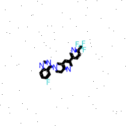 Fc1ccc2ncnc(N3CCc4ncc(-c5ccc(C(F)(F)F)nc5)cc4C3)c2c1